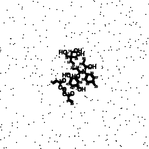 C=CC(=O)OOOC(=O)C=C.CCC(CO)(CO)CO.CCC(O)N(c1ccc(C)cc1)C(O)CC.Oc1ccc(O)cc1